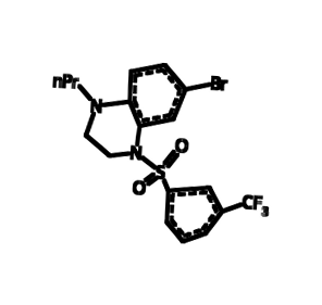 CCCN1CCN(S(=O)(=O)c2cccc(C(F)(F)F)c2)c2cc(Br)ccc21